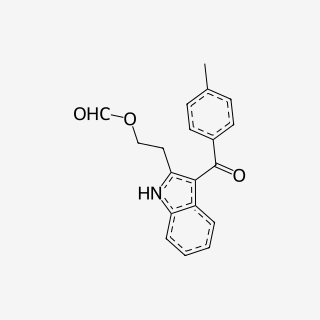 Cc1ccc(C(=O)c2c(CCOC=O)[nH]c3ccccc23)cc1